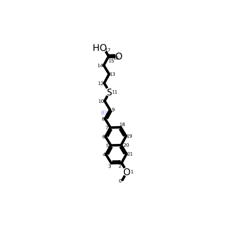 COc1ccc2cc(/C=C/CSCCCC(=O)O)ccc2c1